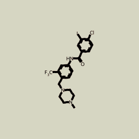 CN1CCN(Cc2ccc(NC(=O)c3ccc(Cl)c(I)c3)cc2C(F)(F)F)CC1